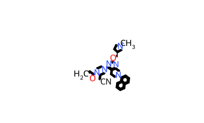 C=CC(=O)N1CCN(c2nc(OC[C@H]3CCN(C)C3)nc3c2CCN(c2cccc4ccccc24)C3)CC1CC#N